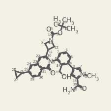 Cn1cc(-c2cccc(-n3c(C4CN(C(=O)OC(C)(C)C)C4)cc4cc(C5CC5)ccc4c3=O)c2CO)cc1C(N)=O